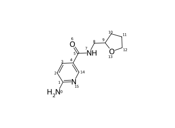 Nc1ccc(C(=O)NCC2CCCO2)cn1